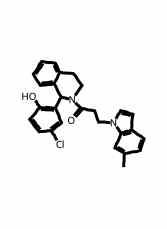 Cc1ccc2ccn(CCC(=O)N3CCc4ccccc4C3c3cc(Cl)ccc3O)c2c1